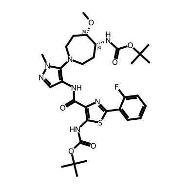 CO[C@H]1CCN(c2c(NC(=O)c3nc(-c4ccccc4F)sc3NC(=O)OC(C)(C)C)cnn2C)CC[C@H]1NC(=O)OC(C)(C)C